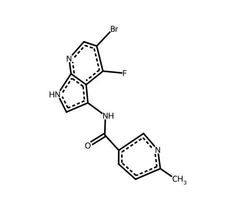 Cc1ccc(C(=O)Nc2c[nH]c3ncc(Br)c(F)c23)cn1